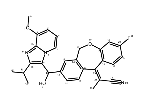 COc1cccn2c(C(O)c3ccc4c(c3)COc3cc(F)ccc3/C4=C(/C)C#N)c(C(C)C)nc12